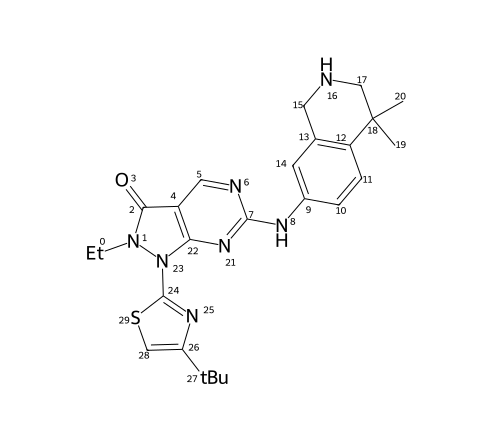 CCn1c(=O)c2cnc(Nc3ccc4c(c3)CNCC4(C)C)nc2n1-c1nc(C(C)(C)C)cs1